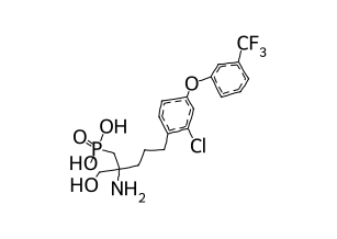 NC(CO)(CCCc1ccc(Oc2cccc(C(F)(F)F)c2)cc1Cl)CP(=O)(O)O